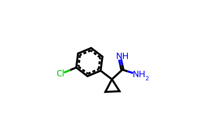 N=C(N)C1(c2cccc(Cl)c2)CC1